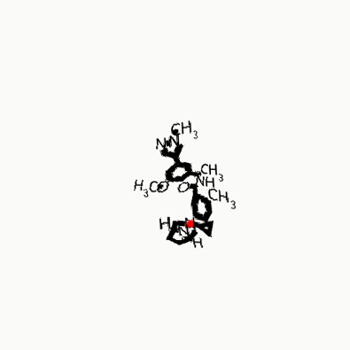 COc1cc(-c2cnn(C)c2)cc([C@@H](C)NC(=O)c2cc(N3C[C@H]4CC[C@@H](C3)N4CC3CC3)ccc2C)c1